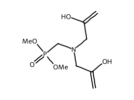 C=C(O)CN(CC(=C)O)CP(=O)(OC)OC